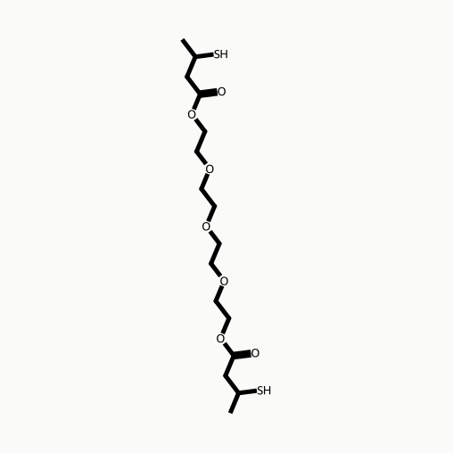 CC(S)CC(=O)OCCOCCOCCOCCOC(=O)CC(C)S